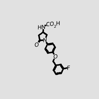 O=C(O)NC1CC(=O)N(c2ccc(OCc3cccc(F)c3)cc2)C1